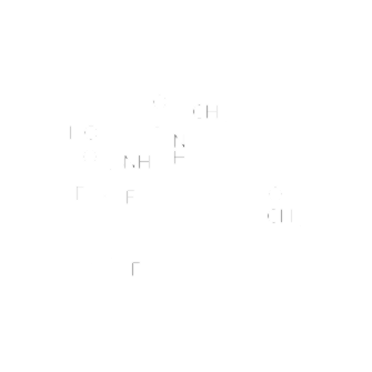 COc1ccc(C(C)NC(=O)C(CO)NC(=O)C(F)(F)c2cccc(F)c2)cc1